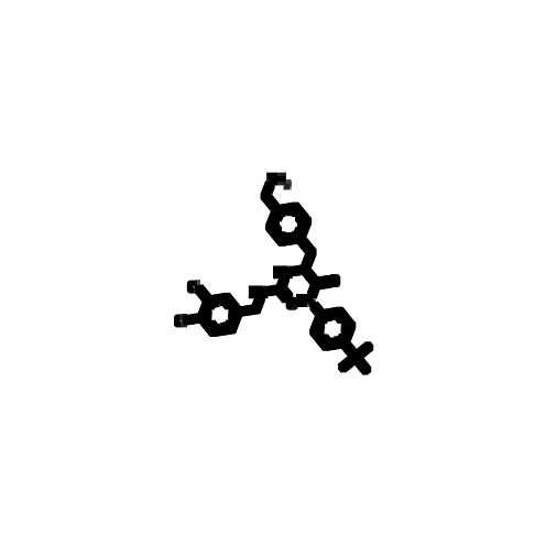 CC(C)(C)c1ccc(NC(=O)C(Cc2ccc(CN)cc2)NC(=O)NCc2ccc(Cl)c(Cl)c2)cc1